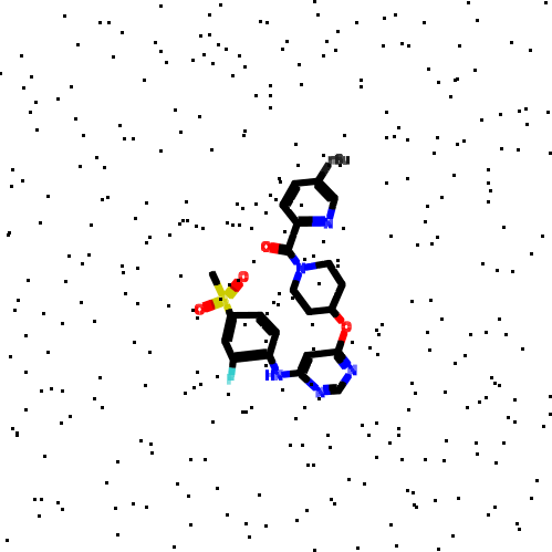 CCCCc1ccc(C(=O)N2CCC(Oc3cc(Nc4ccc(S(C)(=O)=O)cc4F)ncn3)CC2)nc1